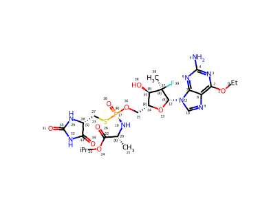 CCOc1nc(N)nc2c1ncn2[C@@H]1O[C@H](CO[P@](=O)(N[C@H](C)C(=O)OC(C)C)SC[C@H]2NC(=O)NC2=O)[C@@H](O)[C@@]1(C)F